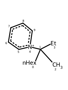 CCCCCCC(C)(CC)[n+]1ccccc1